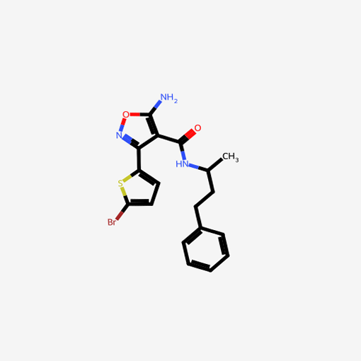 CC(CCc1ccccc1)NC(=O)c1c(-c2ccc(Br)s2)noc1N